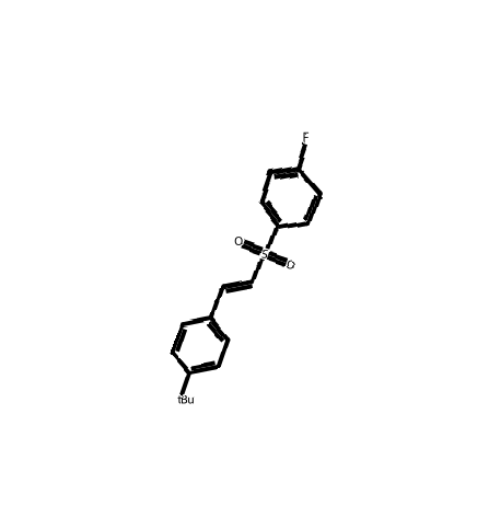 CC(C)(C)c1ccc(C=CS(=O)(=O)c2ccc(F)cc2)cc1